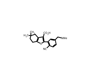 CNCc1ccc(C#N)c(-c2sc3c(c2C(=O)O)CC(C)(C)CC3)c1